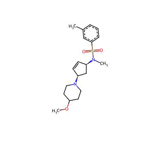 COC1CCN([C@H]2C=C[C@@H](N(C)S(=O)(=O)c3cccc(C)c3)C2)CC1